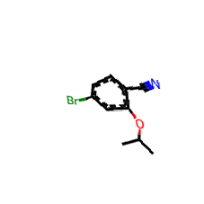 CC(C)Oc1cc(Br)ccc1C#N